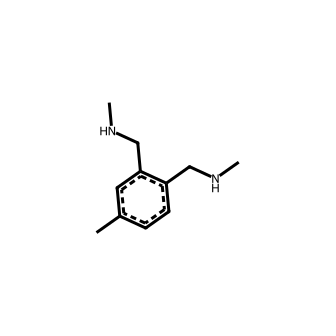 CNCc1ccc(C)cc1CNC